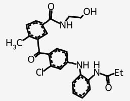 CCC(=O)Nc1ccccc1Nc1ccc(C(=O)c2cc(C(=O)NCCO)ccc2C)c(Cl)c1